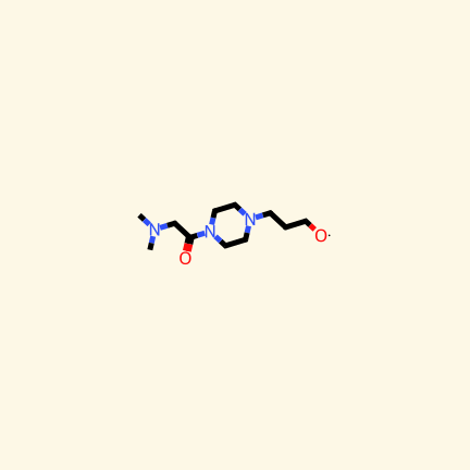 CN(C)CC(=O)N1CCN(CCC[O])CC1